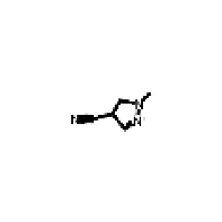 CN1CC(C#N)C=[N+]1